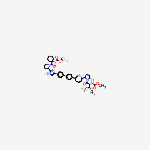 COC(=O)NC(C(=O)N1CCCC1C1=C=CCC(c2ccc(-c3ccc(-c4c[nH]c(C5CCCN5C(=O)C5(NC(=O)OC)CCCCC5)n4)cc3)cc2)=CN1)C(C)C